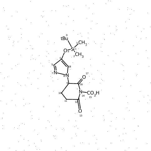 CC(C)(C)[Si](C)(C)Oc1cnn(C2CCC(=O)N(C(=O)O)C2=O)c1